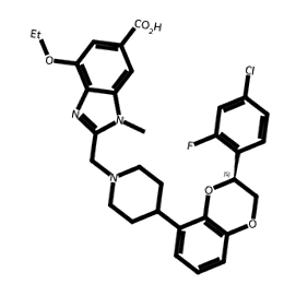 CCOc1cc(C(=O)O)cc2c1nc(CN1CCC(c3cccc4c3O[C@@H](c3ccc(Cl)cc3F)CO4)CC1)n2C